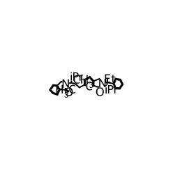 CCC(c1ccccc1)(C(C)C)N1Cc2ccc(CC(C)(C)C(C(C)C)N3Cc4ccccc4C3=O)cc2C1=O